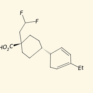 CCC1=CCC([C@H]2CC[C@](CC(F)F)(C(=O)O)CC2)C=C1